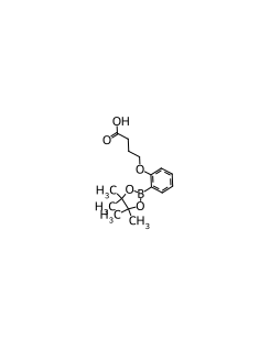 CC1(C)OB(c2ccccc2OCCCC(=O)O)OC1(C)C